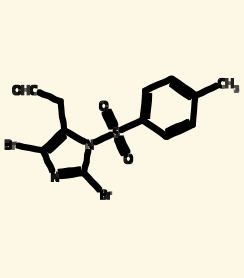 Cc1ccc(S(=O)(=O)n2c(Br)nc(Br)c2CC=O)cc1